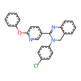 Clc1ccc(N2Cc3ccccc3N=C2c2ccc(Oc3ccccc3)nc2)cc1